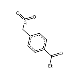 CCC(=O)c1ccc(C[SH](=O)=O)cc1